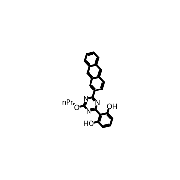 CCCOc1nc(-c2ccc3cc4ccccc4cc3c2)nc(-c2c(O)cccc2O)n1